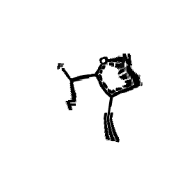 C#Cc1[c]noc1C(F)F